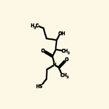 CCCC(O)C(C)C(=O)N(CCS)C(C)=O